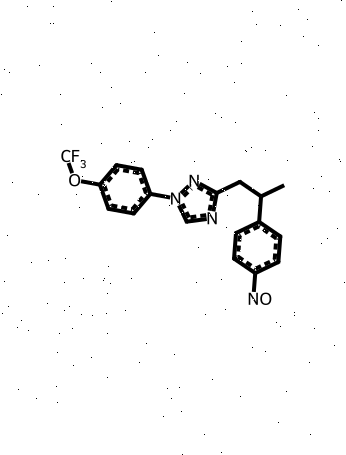 CC(Cc1ncn(-c2ccc(OC(F)(F)F)cc2)n1)c1ccc(N=O)cc1